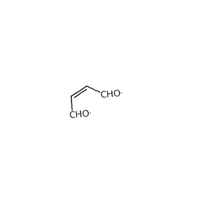 O=[C]/C=C\[C]=O